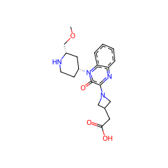 COC[C@@H]1C[C@H](n2c(=O)c(N3CC(CC(=O)O)C3)nc3ccccc32)CCN1